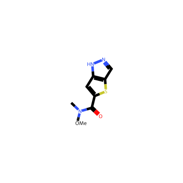 CON(C)C(=O)c1cc2[nH]ncc2s1